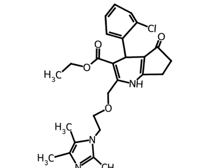 CCOC(=O)C1=C(COCCn2c(C)nc(C)c2C)NC2=C(C(=O)CC2)C1c1ccccc1Cl